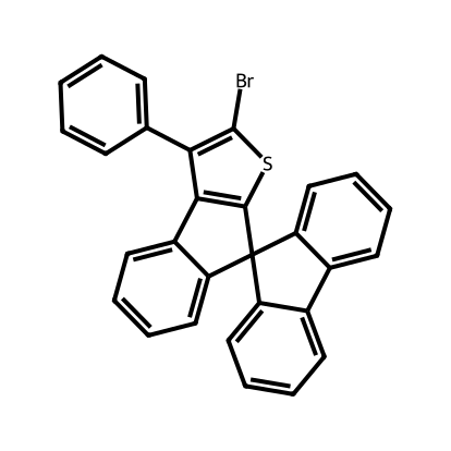 Brc1sc2c(c1-c1ccccc1)-c1ccccc1C21c2ccccc2-c2ccccc21